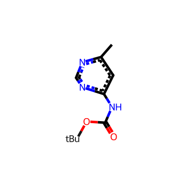 Cc1cc(NC(=O)OC(C)(C)C)ncn1